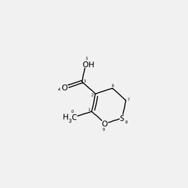 CC1=C(C(=O)O)CCSO1